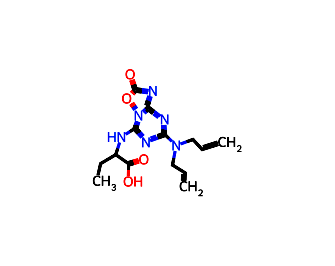 C=CCN(CC=C)c1nc(NC(CC)C(=O)O)n2oc(=O)nc2n1